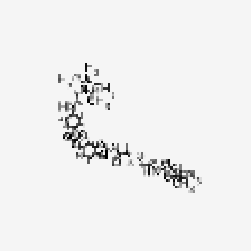 CC(C)N(CCNc1ccc(S(=O)(=O)Oc2ccc3nc(NC(=O)CCCCCNC(=O)OC(C)(C)C)sc3c2)cc1)C(C)C